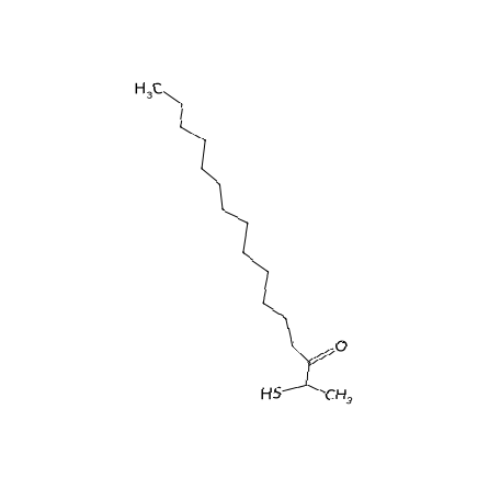 CCCCCCCCCCCCCC(=O)C(C)S